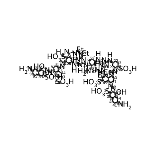 CCN(NCCN)N(CC)c1nc(Nc2ccc(Nc3nc(Nc4ccc(S(=O)(=O)O)c(N=Nc5ccc(N=Nc6c(S(=O)(=O)O)cc7ccc(N)cc7c6O)c6cc(S(=O)(=O)O)ccc56)c4)nc(N(CC)N(CC)NCCN)n3)cc2)nc(Nc2ccc(S(=O)(=O)O)c(N=Nc3ccc(N=Nc4c(S(=O)(=O)O)cc5ccc(N)cc5c4O)c4cc(S(=O)(=O)O)ccc34)c2)n1